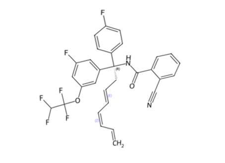 C=C/C=C\C=C\C[C@@](NC(=O)c1ccccc1C#N)(c1ccc(F)cc1)c1cc(F)cc(OC(F)(F)C(F)F)c1